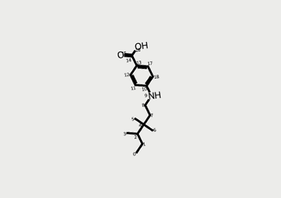 CCC(C)C(C)(C)CCNc1ccc(C(=O)O)cc1